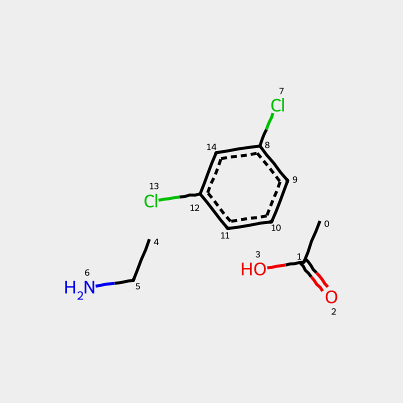 CC(=O)O.CCN.Clc1cccc(Cl)c1